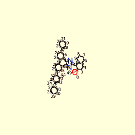 COc1ccc2ccccc2c1-c1nc2c3cc(-c4ccccc4)ccc3c3ccc(-c4cc(C)c(-c5ccccc5)cc4C)cc3c2n1C